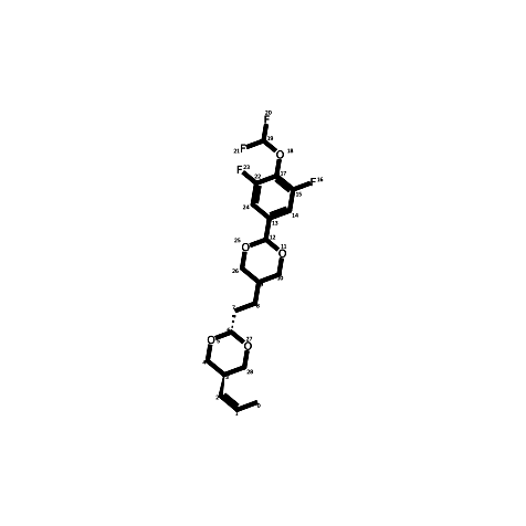 C/C=C\[C@H]1CO[C@H](CCC2COC(c3cc(F)c(OC(F)F)c(F)c3)OC2)OC1